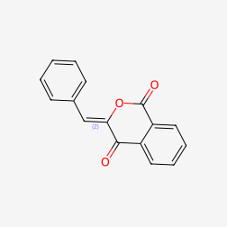 O=C1O/C(=C\c2ccccc2)C(=O)c2ccccc21